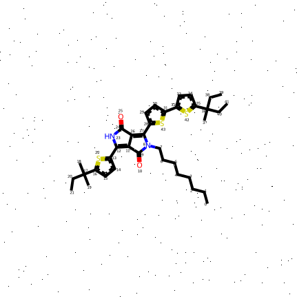 CCCCCCCCN1C(=O)C2=C(c3ccc(C(C)(C)CC)s3)NC(=O)C2=C1c1ccc(-c2ccc(C(C)(CC)CC)s2)s1